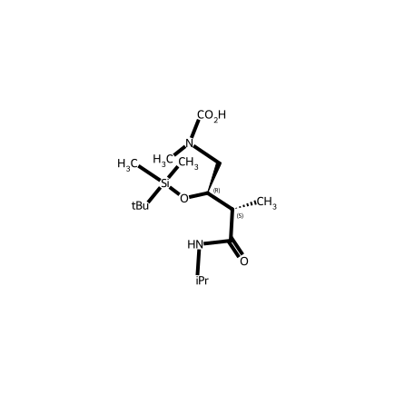 CC(C)NC(=O)[C@@H](C)[C@H](CN(C)C(=O)O)O[Si](C)(C)C(C)(C)C